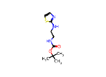 CC(C)(C)OC(=O)NCCNc1nccs1